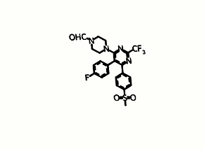 CS(=O)(=O)c1ccc(-c2nc(C(F)(F)F)nc(N3CCN(C=O)CC3)c2-c2ccc(F)cc2)cc1